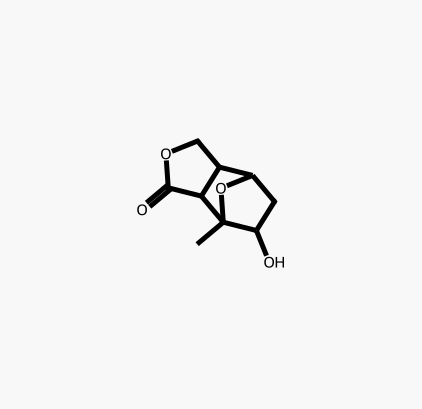 CC12OC(CC1O)C1COC(=O)C12